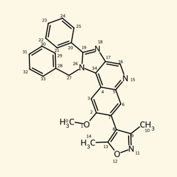 COc1cc2c(cc1-c1c(C)noc1C)ncc1nc(-c3ccccc3)n(Cc3ccccc3)c12